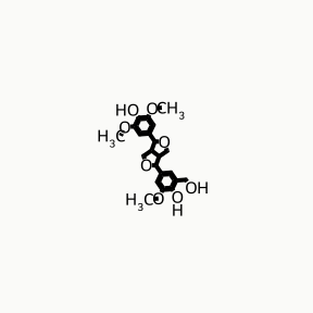 COc1cc(C2OCC3C(c4cc(OC)c(O)c(OC)c4)OCC23)cc(CO)c1O